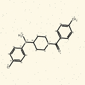 [CH2]c1ccc(C(=O)N2CCC(N(C)c3ccc(Cl)cc3)CC2)cc1